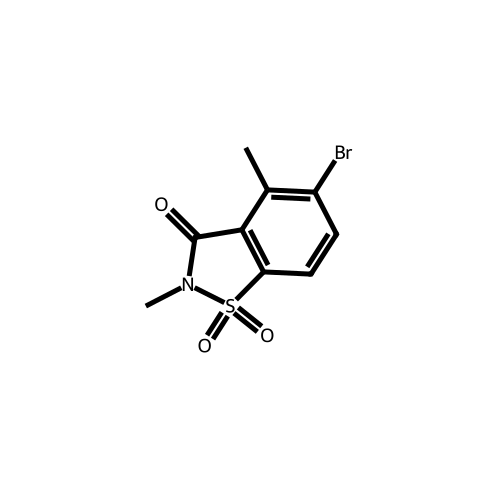 Cc1c(Br)ccc2c1C(=O)N(C)S2(=O)=O